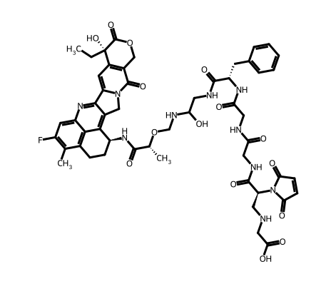 CC[C@@]1(O)C(=O)OCc2c1cc1n(c2=O)Cc2c-1nc1cc(F)c(C)c3c1c2[C@@H](NC(=O)[C@@H](C)OCNC(O)CNC(=O)[C@H](Cc1ccccc1)NC(=O)CNC(=O)CNC(=O)[C@H](CNCC(=O)O)N1C(=O)C=CC1=O)CC3